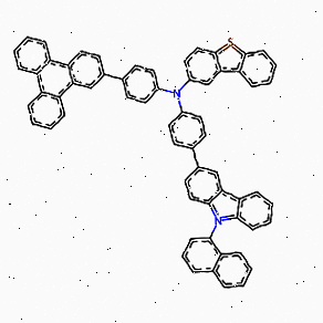 c1ccc2c(-n3c4ccccc4c4cc(-c5ccc(N(c6ccc(-c7ccc8c9ccccc9c9ccccc9c8c7)cc6)c6ccc7sc8ccccc8c7c6)cc5)ccc43)cccc2c1